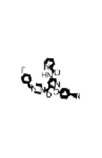 N#Cc1ccc(Oc2ncc(NC(=O)c3ccccn3)cc2C(=O)N2CCN(Cc3ccc(F)cc3)CC2)cc1